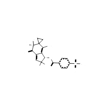 CC1=C2C(=CC(C)(C)[C@@H]2OC(=O)c2ccc(S(N)(=O)=O)cc2)C(=O)[C@](C)(O)C12CC2